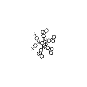 CC(C)(C)c1ccc(N(c2ccc(C(C)(C)C)cc2)c2cc3c4c(c2)N(c2ccc5oc6ccccc6c5c2)c2cc5c(cc2B4c2cc4oc6ccccc6c4cc2N3c2ccc3oc4ccccc4c3c2)oc2ccccc25)cc1